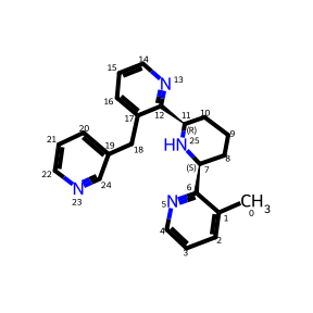 Cc1cccnc1[C@@H]1CCC[C@H](c2ncccc2Cc2cccnc2)N1